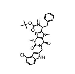 Cn1c(C(Cc2ccccc2)NC(=O)OC(C)(C)C)nc2c1c(=O)n(Cc1cc3c(Cl)cccc3[nH]1)c(=O)n2C